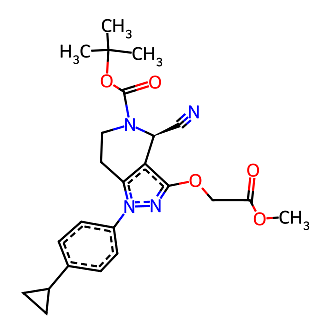 COC(=O)COc1nn(-c2ccc(C3CC3)cc2)c2c1[C@H](C#N)N(C(=O)OC(C)(C)C)CC2